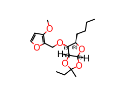 CCCC[C@H]1O[C@@H]2OC(C)(CC)O[C@@H]2[C@H]1OCc1occc1OC